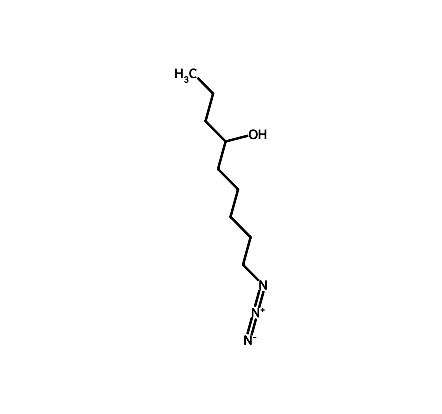 CCCC(O)CCCCCN=[N+]=[N-]